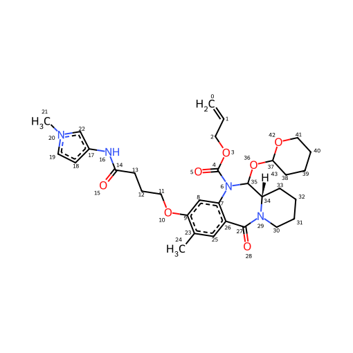 C=CCOC(=O)N1c2cc(OCCCC(=O)Nc3ccn(C)c3)c(C)cc2C(=O)N2CCCC[C@H]2C1OC1CCCCO1